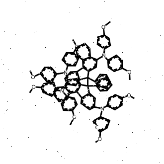 COc1ccc(N(c2ccc(OC)cc2)c2ccc3c(c2)C(c2ccccc2)(C2(c4ccccc4)c4cc(N(c5ccc(OC)cc5)c5ccc(OC)cc5)ccc4-c4c2cc(N(c2ccc(OC)cc2)c2ccc(OC)cc2)c2ccccc42)c2cc(N(c4ccc(OC)cc4)c4ccc(OC)cc4)c4ccccc4c2-3)cc1